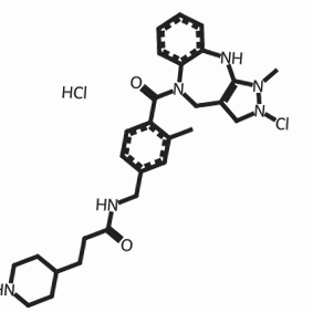 Cc1cc(CNC(=O)CCC2CCNCC2)ccc1C(=O)N1CC2=C(Nc3ccccc31)N(C)N(Cl)C2.Cl